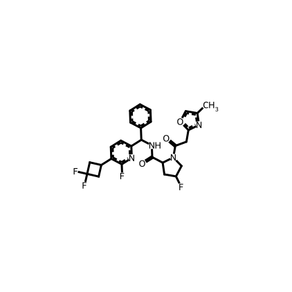 Cc1coc(CC(=O)N2CC(F)CC2C(=O)NC(c2ccccc2)c2ccc(C3CC(F)(F)C3)c(F)n2)n1